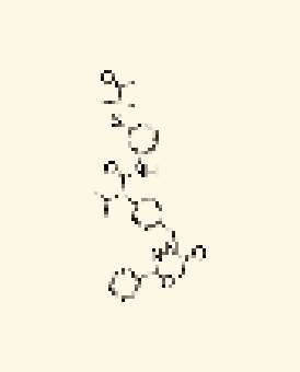 CC(=O)C(C)(C)Sc1cccc(NC(=O)C(c2ccc(CN3N=C(c4ccccc4)OCC3=O)cc2)C(C)C)c1